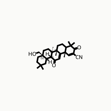 CC1(C)CC[C@]2(CO)CC[C@]3(C)[C@H](C(=O)C=C4[C@@]5(C)C=C(C#N)C(=O)C(C)(C)C5CC[C@]43C)[C@@H]2C1